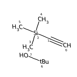 C#C[Si](C)(C)C.CC(C)(C)O